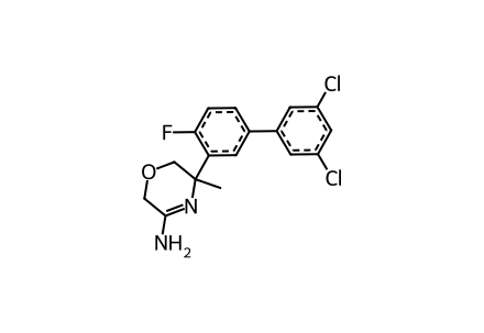 CC1(c2cc(-c3cc(Cl)cc(Cl)c3)ccc2F)COCC(N)=N1